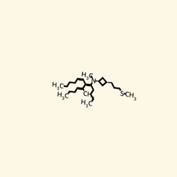 CCC/C=C(C)/C(/C=C\CCCC)=C(\CCCC)N(C)[C@H]1C[C@@H](CCCSC)C1